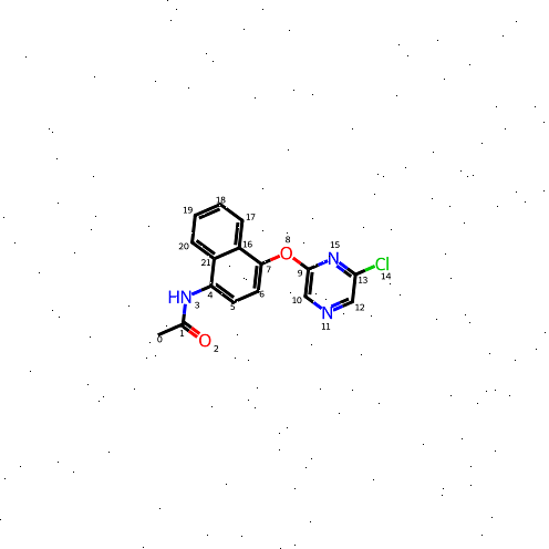 CC(=O)Nc1ccc(Oc2cncc(Cl)n2)c2ccccc12